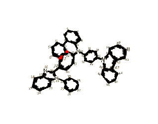 c1ccc(-c2ccccc2N(c2ccc(-c3nc4ccccc4n3-c3ccccc3)cc2)c2ccc(-n3c4ccccc4c4ccccc43)cc2)cc1